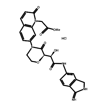 COC(=O)Cn1c(=O)ccc2ccc(N3CCO[C@H]([C@@H](O)C(=O)Nc4ccc5c(c4)CNC5=N)C3=O)cc21.Cl